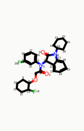 O=C1C(N(C(=O)COC2CCCCC2F)c2cccc(F)c2)c2ccccc2N1C1CCCCC1